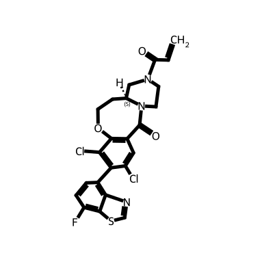 C=CC(=O)N1CCN2C(=O)c3cc(Cl)c(-c4ccc(F)c5scnc45)c(Cl)c3OCC[C@H]2C1